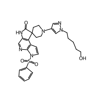 O=C1Nc2cnc3c(ccn3S(=O)(=O)c3ccccc3)c2C12CCN(c1cnn(CCCCCO)c1)CC2